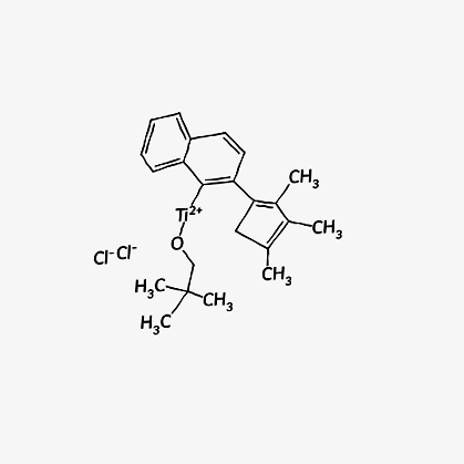 CC1=C(C)C(C)=C(c2ccc3ccccc3[c]2[Ti+2][O]CC(C)(C)C)C1.[Cl-].[Cl-]